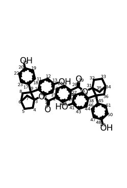 O=C(OC12CCC(C1)CC2(c1ccc(O)cc1)c1ccc(O)cc1)c1ccc(C(=O)OC23CCC(C2)CC3(c2ccc(O)cc2)c2ccc(O)cc2)cc1